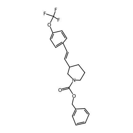 O=C(OCc1ccccc1)N1CCCC(/C=C/c2ccc(OC(F)(F)F)cc2)C1